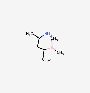 CB(C)C(C=O)CC(C)N